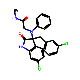 CC(C)NC(=O)CN(c1ccccc1)C1(Cc2cccc(Cl)c2)C(=O)Nc2cc(Cl)ccc21